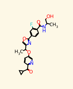 CC(CO)NC(=O)c1ccc(-c2nc(C(C)Oc3ccc(C(=O)C4CC4)nc3)co2)cc1F